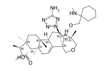 CNC1(CO[C@H]2[C@H](n3nnc(N)n3)C[C@@]34COC[C@]2(C)[C@@H]3CC[C@H]2C4=CC[C@@]3(C)[C@H](C(=O)O)[C@@](C)([C@H](C)C(C)C)CC[C@]23C)CCCCC1